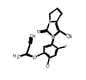 C#CC(C)Oc1cc(-n2c(C#N)c3n(c2=O)CCC3)c(F)cc1Cl